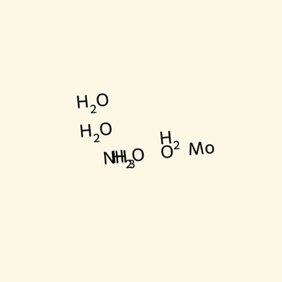 N.O.O.O.O.[Mo]